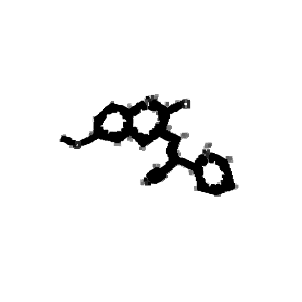 COc1ccc2nc(Cl)c(C=C(C#N)c3ccccn3)cc2c1